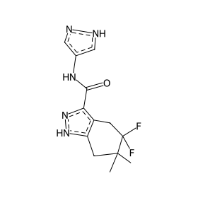 CC1(C)Cc2[nH]nc(C(=O)Nc3cn[nH]c3)c2CC1(F)F